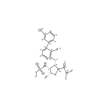 CCS(=O)(=O)N[C@H]1[C@@H](F)CN(C(=O)N(C)C)[C@H]1Cc1cccc(-c2cccc(Cl)c2)c1F